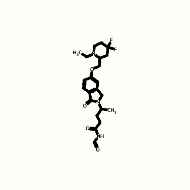 CCN1CCC(F)(F)CC1COc1ccc2c(c1)CN(C(C)CCC(=O)NC=O)C2=O